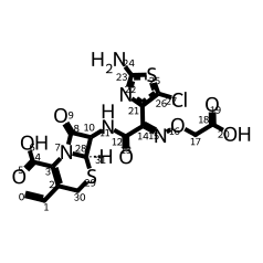 C=CC1=C(C(=O)O)N2C(=O)C(NC(=O)/C(=N/OCC(=O)O)c3nc(N)sc3Cl)[C@H]2SC1